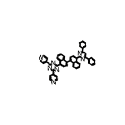 c1ccc(-c2cc(-c3ccccc3)nc(-c3ccc(-c4ccc(-c5nc(-c6ccncc6)nc(-c6ccncc6)n5)c5ccccc45)c4ccccc34)n2)cc1